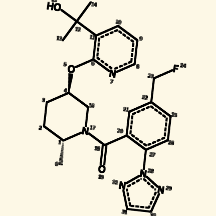 C[C@@H]1CC[C@@H](Oc2ncccc2C(C)(C)O)CN1C(=O)c1cc(CF)ccc1-n1nccn1